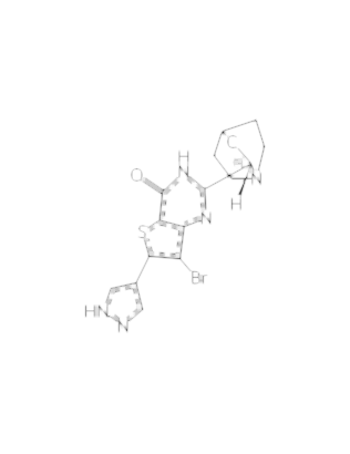 O=c1[nH]c([C@@H]2CC3CCN2CC3)nc2c(Br)c(-c3cn[nH]c3)sc12